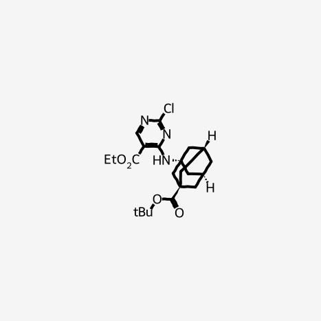 CCOC(=O)c1cnc(Cl)nc1N[C@@]12C[C@H]3C[C@@H](C1)C[C@](C(=O)OC(C)(C)C)(C3)C2